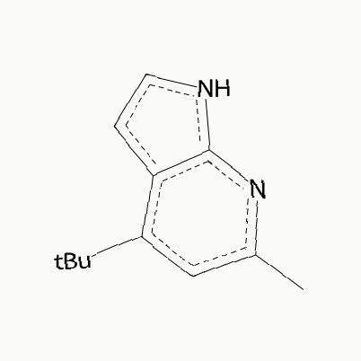 Cc1cc(C(C)(C)C)c2cc[nH]c2n1